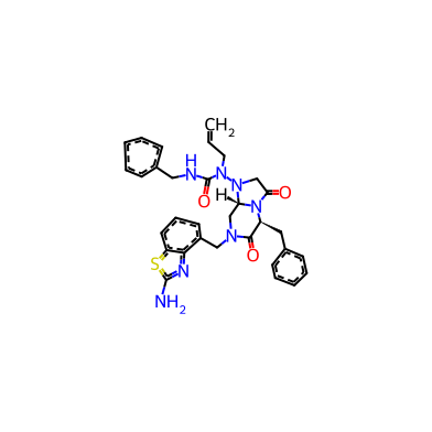 C=CCN(C(=O)NCc1ccccc1)N1CC(=O)N2[C@@H](Cc3ccccc3)C(=O)N(Cc3cccc4sc(N)nc34)C[C@@H]21